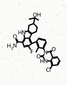 Cc1c(-c2c(F)cc(C(N)=O)c3[nH]c4c(c23)CCC(C(C)(C)O)C4)cccc1-n1c(=O)[nH]c2c(Cl)cccc2c1=O